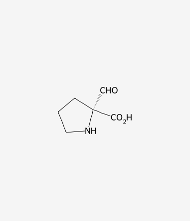 O=C[C@@]1(C(=O)O)CCCN1